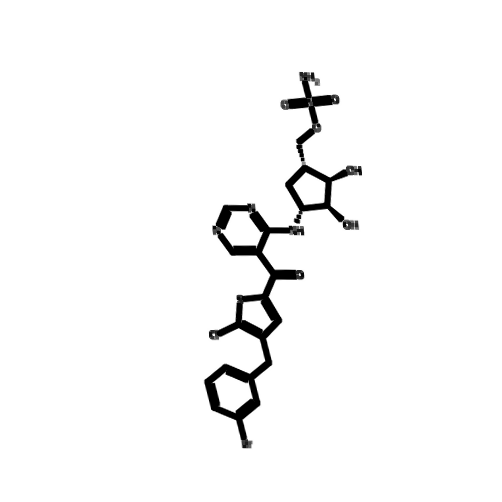 NS(=O)(=O)OC[C@H]1C[C@@H](Nc2ncncc2C(=O)c2cc(Cc3cccc(Br)c3)c(Cl)s2)[C@H](O)[C@@H]1O